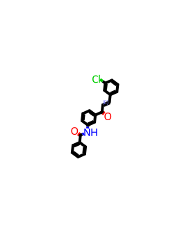 O=C(/C=C/c1cccc(Cl)c1)c1cccc(NC(=O)c2ccccc2)c1